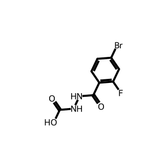 O=C(O)NNC(=O)c1ccc(Br)cc1F